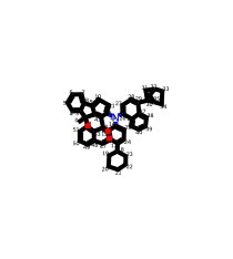 CC1(C)c2ccccc2-c2ccc(N(c3ccc(C4CCCCC4)cc3)c3ccc(C4CC5CCC4C5)c4ccccc34)c(-c3cccc4ccccc34)c21